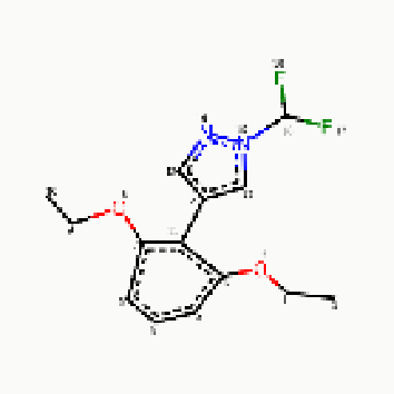 CCOc1c[c]cc(OCC)c1-c1cnn(C(F)F)c1